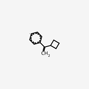 C=C(c1cc[c]cc1)C1CCC1